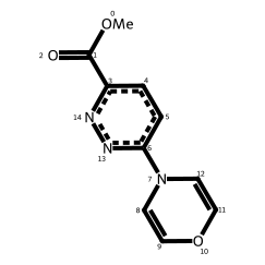 COC(=O)c1ccc(N2C=COC=C2)nn1